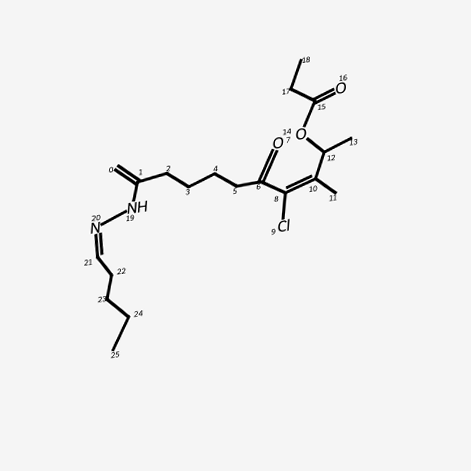 C=C(CCCCC(=O)/C(Cl)=C(/C)C(C)OC(=O)CC)N/N=C\CCCC